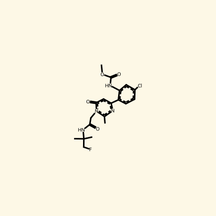 COC(=O)Nc1cc(Cl)ccc1-c1cc(=O)n(CC(=O)NC(C)(C)CF)c(C)n1